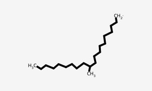 [CH2]CCCCCCCCCC(C)CCCCCCCCC